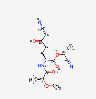 CO[C@@H](C)C(=O)N[C@@H](CCC(=O)C=[N+]=[N-])C(=O)O[C@H](C)C#N